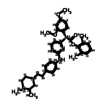 COc1ccc(N(C(=O)Oc2c(C)cccc2C)c2ccnc(Nc3ccc(CCN4CCN(C)C(C)C4)cc3)n2)c(OC)c1